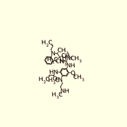 C=CCN(c1ccccc1C)[C@@H](C)C(C)(C)/N=C(\NC)Nc1cc(NC(=O)C=C)c(N(C)CCNC)cc1OC